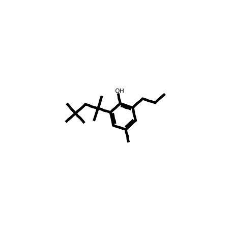 CCCc1cc(C)cc(C(C)(C)CC(C)(C)C)c1O